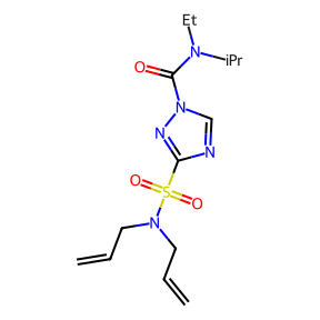 C=CCN(CC=C)S(=O)(=O)c1ncn(C(=O)N(CC)C(C)C)n1